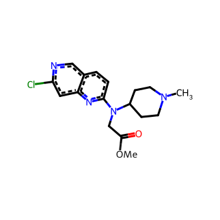 COC(=O)CN(c1ccc2cnc(Cl)cc2n1)C1CCN(C)CC1